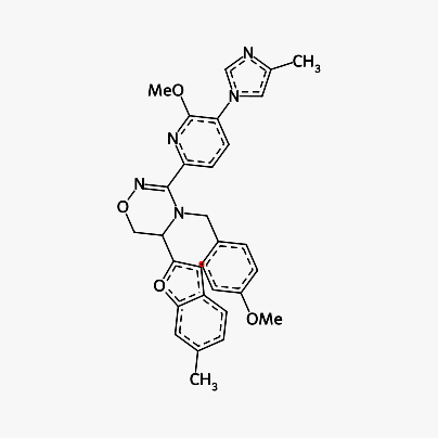 COc1ccc(CN2C(c3ccc(-n4cnc(C)c4)c(OC)n3)=NOCC2c2cc3ccc(C)cc3o2)cc1